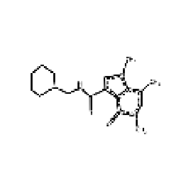 Cc1cn(C)c(=O)c2c(C(=O)NCC3CCCCC3)cn(C)c12